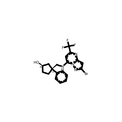 O[C@@H]1CC[C@@](CNc2cc(C(F)(F)F)nc3cc(Br)nn23)(c2ccccc2)C1